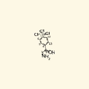 NC[C@H](O)c1ccc(C(Cl)(Cl)Cl)cc1